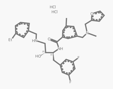 CCc1cccc(CNC[C@@H](O)[C@H](Cc2cc(F)cc(F)c2)NC(=O)c2cc(C)cc(CN(C)Cc3ccco3)c2)c1.Cl.Cl